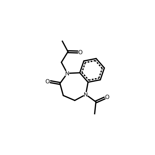 CC(=O)CN1C(=O)CCN(C(C)=O)c2ccccc21